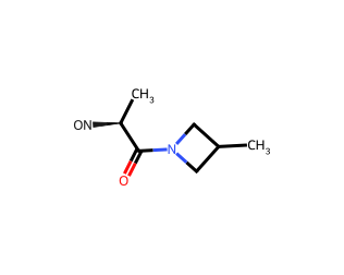 CC1CN(C(=O)[C@H](C)N=O)C1